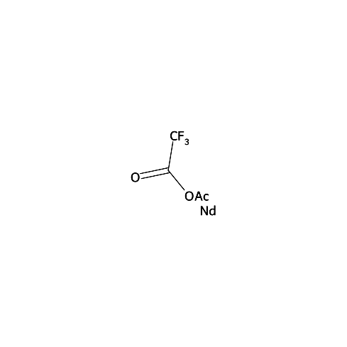 CC(=O)OC(=O)C(F)(F)F.[Nd]